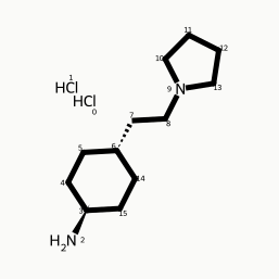 Cl.Cl.N[C@H]1CC[C@H](CCN2CCCC2)CC1